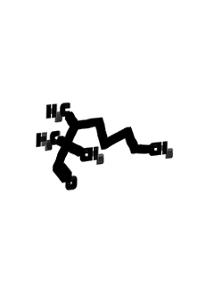 CCCCCC(C)C(C)(C)C=O